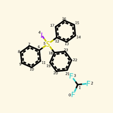 FC(F)F.IS(c1ccccc1)(c1ccccc1)c1ccccc1